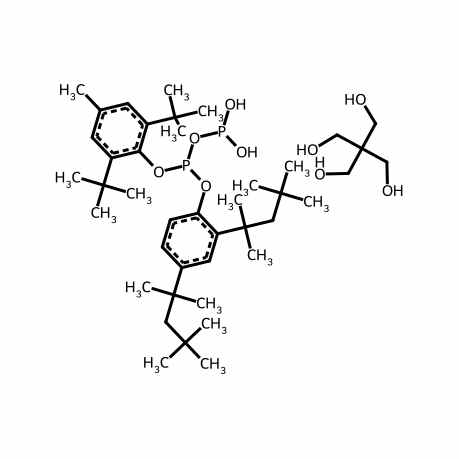 Cc1cc(C(C)(C)C)c(OP(Oc2ccc(C(C)(C)CC(C)(C)C)cc2C(C)(C)CC(C)(C)C)OP(O)O)c(C(C)(C)C)c1.OCC(CO)(CO)CO